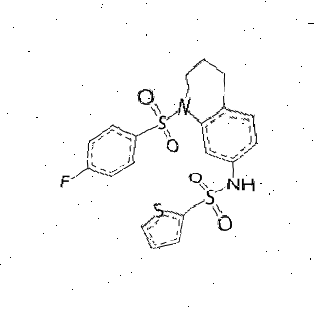 O=S(=O)(Nc1ccc2c(c1)N(S(=O)(=O)c1ccc(F)cc1)CCC2)c1cccs1